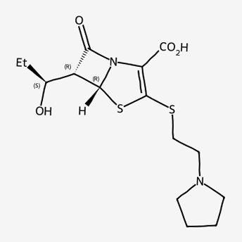 CC[C@H](O)[C@@H]1C(=O)N2C(C(=O)O)=C(SCCN3CCCC3)S[C@H]12